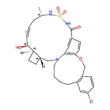 C[C@H]1C/C=C\[C@H](O)[C@@H]2CC[C@H]2CN2CCCCc3cc(Cl)ccc3COc3ccc(cc32)C(=O)NS(=O)(=O)N1